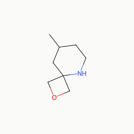 CC1CCNC2(COC2)C1